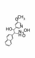 COc1cncc(C(O)C(CNC(=O)O)c2ccc3ccccc3c2)c1